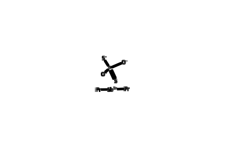 C[CH](C)[Sb+3][CH](C)C.[O-]P([O-])(=S)[S-]